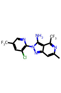 Cc1cc2nn(-c3ncc(C(F)(F)F)cc3Cl)c(N)c2c(C(F)(F)F)n1